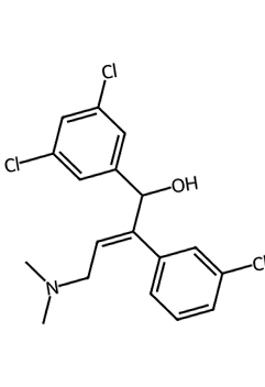 CN(C)C/C=C(\c1cccc(Cl)c1)C(O)c1cc(Cl)cc(Cl)c1